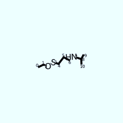 CCOSCCCNC(C)C